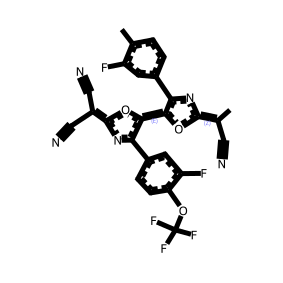 C/C(C#N)=c1\nc(-c2ccc(C)c(F)c2)/c(=c2\oc(=C(C#N)C#N)nc2-c2ccc(OC(F)(F)F)c(F)c2)o1